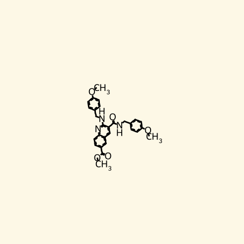 COC(=O)c1ccc2nc(NCc3ccc(OC)cc3)c(C(=O)NCc3ccc(OC)cc3)cc2c1